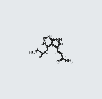 CC(CO)Oc1ncnc2[nH]cc(C=CC(N)=O)c12